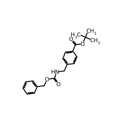 CC(C)(C)OC(=O)c1ccc(CNC(=O)OCc2ccccc2)cc1